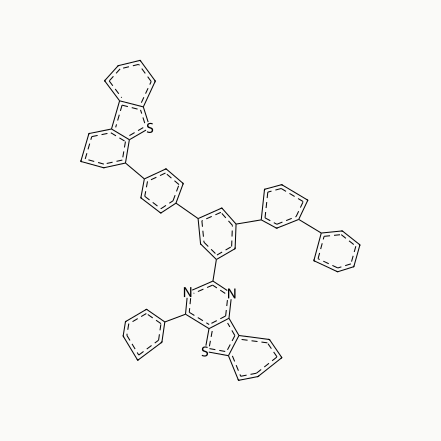 c1ccc(-c2cccc(-c3cc(-c4ccc(-c5cccc6c5sc5ccccc56)cc4)cc(-c4nc(-c5ccccc5)c5sc6ccccc6c5n4)c3)c2)cc1